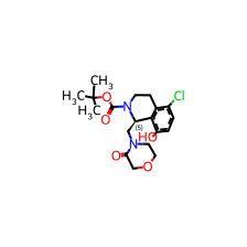 CC(C)(C)OC(=O)N1CCc2c(Cl)ccc(O)c2[C@H]1CN1CCOCC1=O